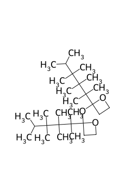 CC(C)C(C)(C)C(C)(C)C(C)(C)C1(OC2(C(C)(C)C(C)(C)C(C)(C)C(C)C)CCO2)CCO1